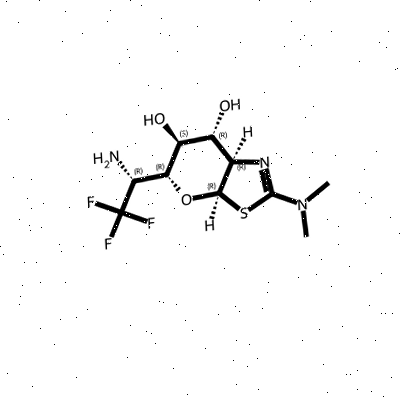 CN(C)C1=N[C@@H]2[C@@H](O)[C@H](O)[C@@H]([C@@H](N)C(F)(F)F)O[C@@H]2S1